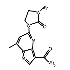 Cc1cc(N2CCN(C(C)C)C2=O)nc2c(C(N)=O)cnn12